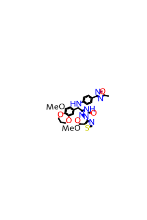 COC(=O)c1scnc1-n1nc(C(Nc2ccc(-c3noc(C)n3)cc2)c2cc(OC)c3c(c2)OCCCO3)[nH]c1=O